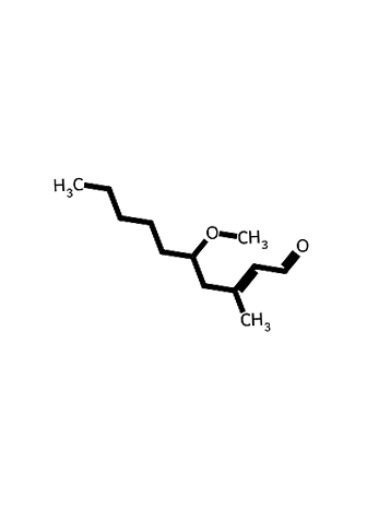 CCCCCC(CC(C)=CC=O)OC